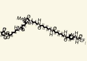 CNC(=O)[C@H](CCCCNC(=O)CCCCCNC(=O)CCCCCNC(=O)c1ccc(NNC(=O)C(F)(F)F)nc1)NC(=O)CCC(=O)NCCCCCC(=O)ON1C(=O)CCC1=O